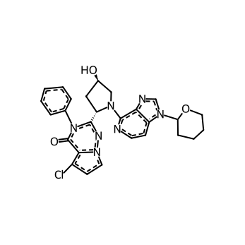 O=c1c2c(Cl)ccn2nc([C@@H]2C[C@@H](O)CN2c2nccc3c2ncn3C2CCCCO2)n1-c1ccccc1